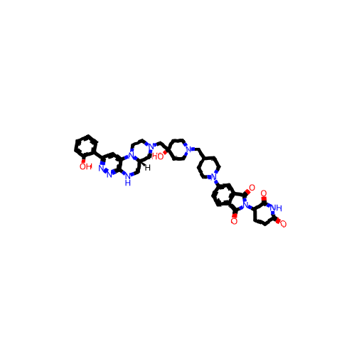 O=C1CCC(N2C(=O)c3ccc(N4CCC(CN5CCC(O)(CN6CCN7c8cc(-c9ccccc9O)nnc8NC[C@H]7C6)CC5)CC4)cc3C2=O)C(=O)N1